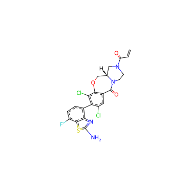 C=CC(=O)N1CCN2C(=O)c3cc(Cl)c(-c4ccc(F)c5sc(N)nc45)c(Cl)c3OC[C@@H]2C1